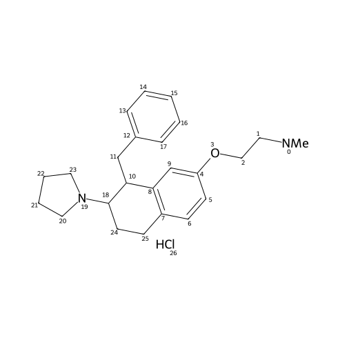 CNCCOc1ccc2c(c1)C(Cc1ccccc1)C(N1CCCC1)CC2.Cl